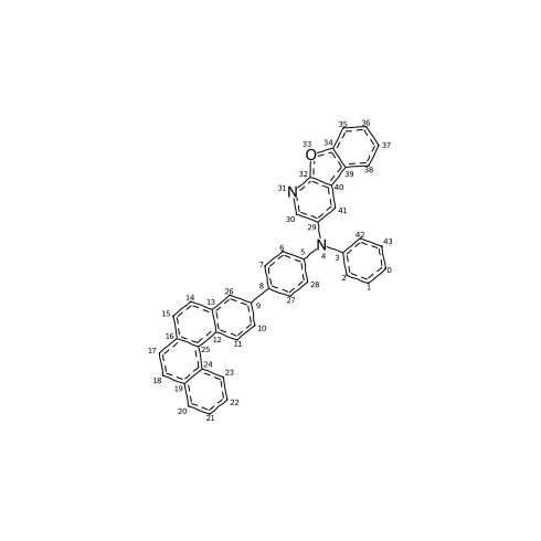 c1ccc(N(c2ccc(-c3ccc4c(ccc5ccc6ccccc6c54)c3)cc2)c2cnc3oc4ccccc4c3c2)cc1